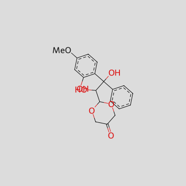 COc1ccc(C(O)(c2ccccc2)C(O)C2OCC(=O)CO2)c(O)c1